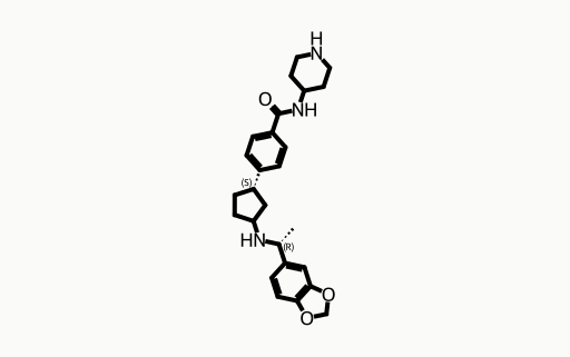 C[C@@H](NC1CC[C@H](c2ccc(C(=O)NC3CCNCC3)cc2)C1)c1ccc2c(c1)OCO2